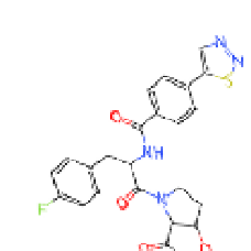 O=C(NC(Cc1ccc(F)cc1)C(=O)N1CCC2OCC(=O)C21)c1ccc(-c2cnns2)cc1